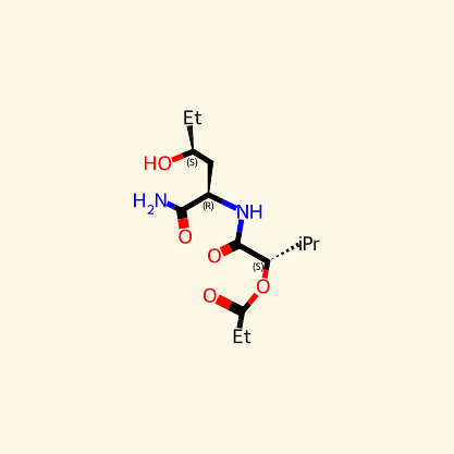 CCC(=O)O[C@H](C(=O)N[C@H](C[C@@H](O)CC)C(N)=O)C(C)C